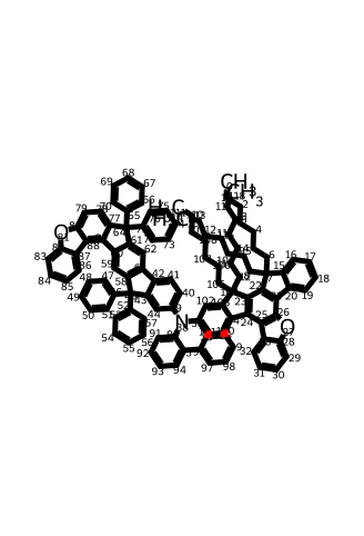 CCCCCCCC1(CCCCCCC)c2ccccc2-c2c1c1c(c3c2oc2ccccc23)-c2ccc(N(c3ccc4c(c3)C(c3ccccc3)(c3ccccc3)c3cc5c(cc3-4)C(c3ccccc3)(c3ccccc3)c3ccc4oc6ccccc6c4c3-5)c3ccccc3-c3ccccc3)cc2C1(CCCCCCC)CCCCCCC